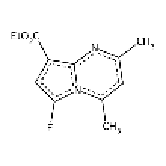 CCOC(=O)c1cc(F)n2c(C)cc(C)nc12